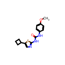 COc1ccc(NC(=O)Nc2ncc(C3CCC3)s2)cc1